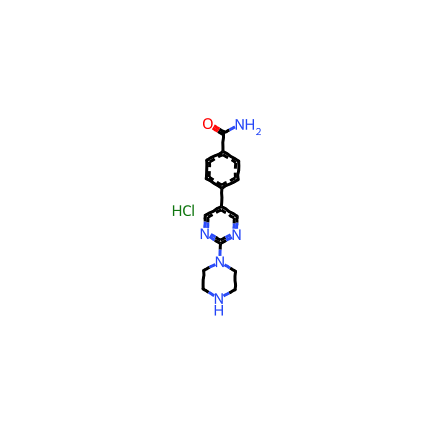 Cl.NC(=O)c1ccc(-c2cnc(N3CCNCC3)nc2)cc1